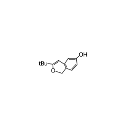 CC(C)(C)C1=Cc2cc(O)ccc2CO1